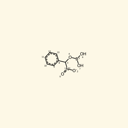 O=[N+]([O-])C(OB(O)O)c1ccccc1